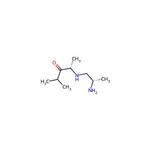 CC(C)C(=O)[C@H](C)NC[C@H](C)N